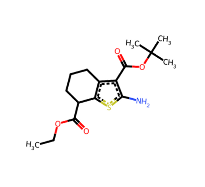 CCOC(=O)C1CCCc2c1sc(N)c2C(=O)OC(C)(C)C